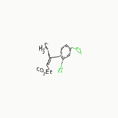 CCOC(=O)/C=C(/C)c1ccc(Cl)cc1Cl